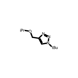 CC(C)OCc1cn(C(C)(C)C)nn1